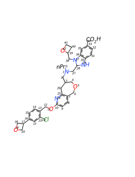 CCCN(CC1COCc2ccc(OCc3ccc(C4COC4)cc3Cl)nc2C1)CC1Nc2ccc(C(=O)O)cc2N1CC1CCO1